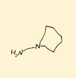 NN1CCC1